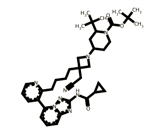 CC(C)(C)OC(=O)N1CCC(N2CC(CC#N)(CCCCc3ncccc3-c3cccc4nc(NC(=O)C5CC5)nn34)C2)CC1C(C)(C)C